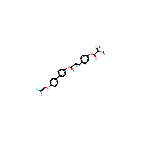 C=C(C)C(=O)Oc1ccc(/C=C/C(=O)Oc2ccc(-c3ccc(OC=C(F)F)cc3)cc2)cc1